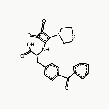 O=C(c1ccccc1)c1ccc(CC(Nc2c(N3CCOCC3)c(=O)c2=O)C(=O)O)cc1